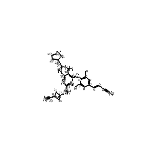 Cc1cc(/C=C/C#N)cc(C)c1Oc1nc(NC23CC(C#N)(C2)C3)nc2nc(-c3ccno3)[nH]c12